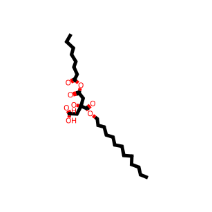 CCCCCCCCCCCCCOC(=O)C(O)(CC(=O)O)CC(=O)OC(=O)CCCCCCC